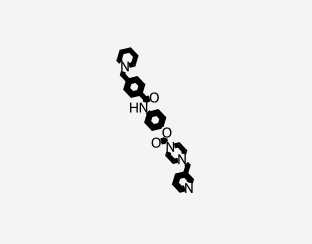 O=C(Nc1ccc(OC(=O)N2CCN(Cc3cccnc3)CC2)cc1)c1ccc(CN2CCCCC2)cc1